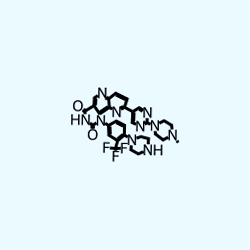 CN1CCN(c2ncc(-c3ccc4ncc5c(=O)[nH]c(=O)n(-c6ccc(N7CCNCC7)c(C(F)(F)F)c6)c5c4n3)cn2)CC1